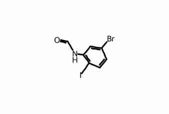 O=CNc1cc(Br)ccc1I